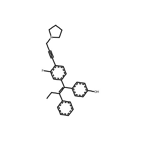 CCC(=C(c1ccc(O)cc1)c1ccc(C#CCN2CCCC2)c(F)c1)c1ccccc1